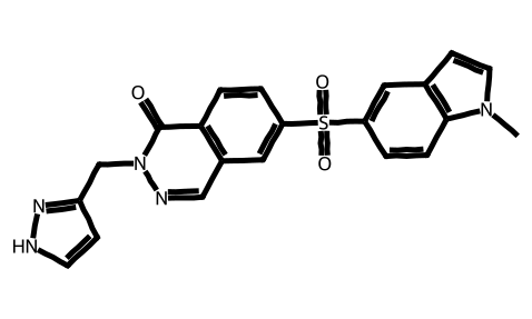 Cn1ccc2cc(S(=O)(=O)c3ccc4c(=O)n(Cc5cc[nH]n5)ncc4c3)ccc21